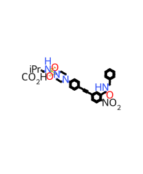 CC(C)C(NS(=O)(=O)N1CCN(c2ccc(C#Cc3ccc([N+](=O)[O-])c(C(=O)NCc4ccccc4)c3)cc2)CC1)C(=O)O